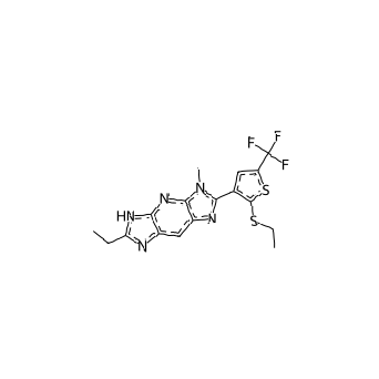 CCSc1sc(C(F)(F)F)cc1-c1nc2cc3nc(CC)[nH]c3nc2n1C